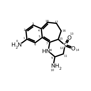 Nc1ccc2c(c1)=C1NC(N)CS(=O)(=O)C1CCC=2